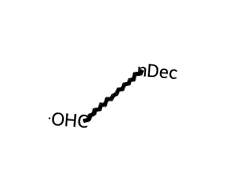 CCCCCCCCCCCCCCCCCCCCCCCCCC=CC=C[C]=O